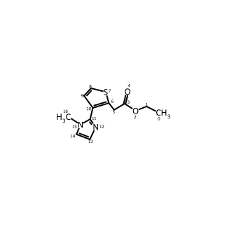 CCOC(=O)Cc1sccc1-c1nccn1C